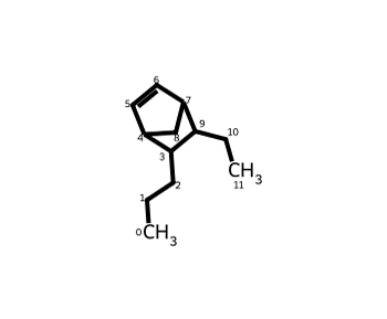 CCCC1C2C=CC(C2)C1CC